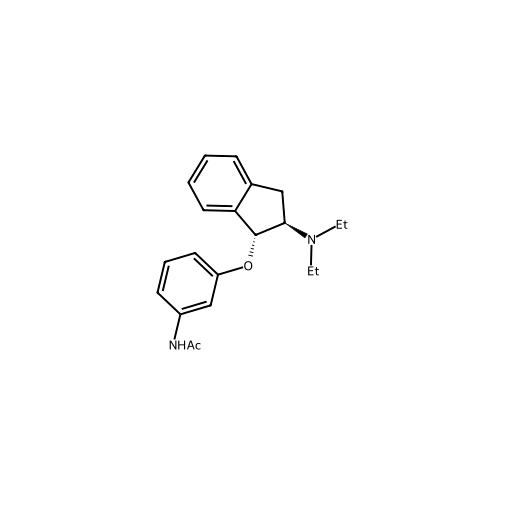 CCN(CC)[C@@H]1Cc2ccccc2[C@H]1Oc1cccc(NC(C)=O)c1